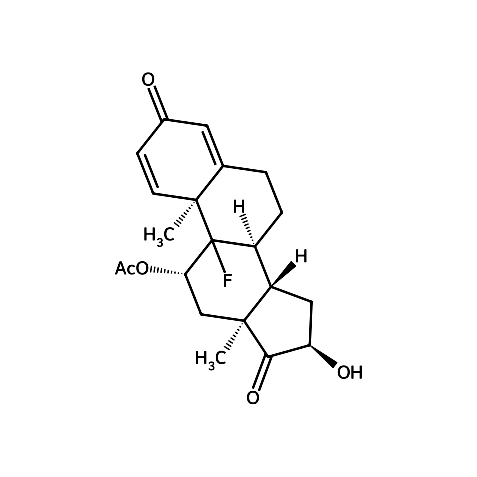 CC(=O)O[C@H]1C[C@]2(C)C(=O)[C@H](O)C[C@H]2[C@@H]2CCC3=CC(=O)C=C[C@]3(C)C12F